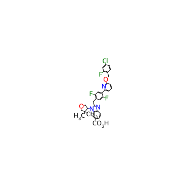 CC1(C)COC[C@H]1n1c(Cc2cc(F)c(-c3cccc(OCc4ccc(Cl)cc4F)n3)cc2F)nc2ccc(C(=O)O)cc21